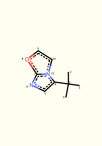 CC(C)(C)c1cnc2occn12